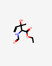 C=CC(C)(O)C(NC=O)C(=O)OCC